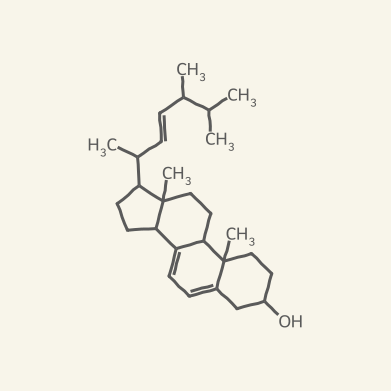 CC(C)C(C)C=CC(C)C1CCC2C3=CC=C4CC(O)CCC4(C)C3CCC21C